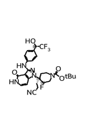 CC(C)(C)OC(=O)N1CC[C@](CCC#N)(n2nc(Nc3ccc([C@@H](O)C(F)(F)F)cc3)c3c(=O)[nH]ccc32)[C@H](F)C1